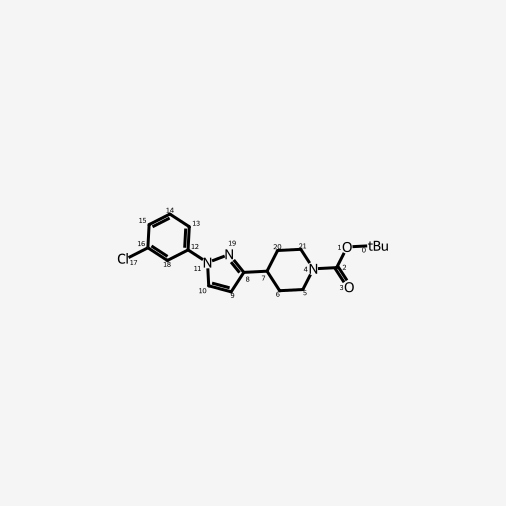 CC(C)(C)OC(=O)N1CCC(c2ccn(-c3cccc(Cl)c3)n2)CC1